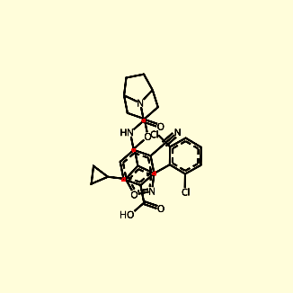 N#Cc1cc(C(=O)O)ccc1NC(=O)N1C2CCC1CC(OCc1c(-c3c(Cl)cccc3Cl)noc1C1CC1)C2